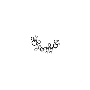 Cc1ccc(NC(=O)NCc2scc3c2CN([C@H]2CCCC(=O)NC2=O)C3=O)cc1C(F)(F)F